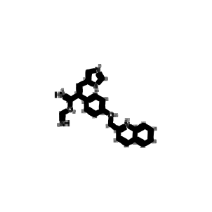 N=COC(=N)/C(=C/c1cncs1)c1ccc(OCc2ccc3ccccc3n2)cc1